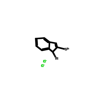 CCC1[C]([Ti+2])=Cc2ccccc21.[Cl-].[Cl-]